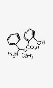 NC(=O)c1ccccc1.O=C(O)c1ccccc1O.[CaH2]